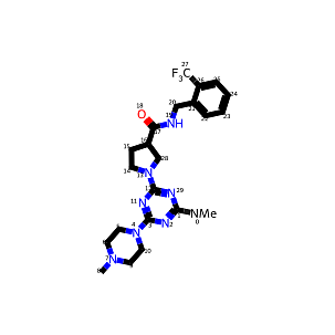 CNc1nc(N2CCN(C)CC2)nc(N2CCC(C(=O)NCc3ccccc3C(F)(F)F)C2)n1